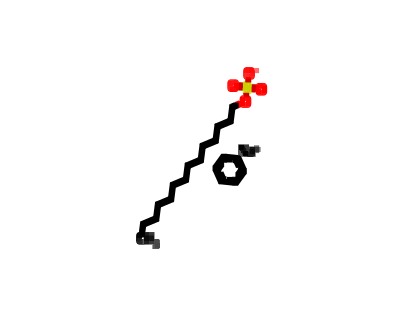 CCCCCCCCCCCCCCOS(=O)(=O)[O-].[Na+].c1ccccc1